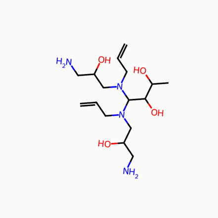 C=CCN(CC(O)CN)C(C(O)C(C)O)N(CC=C)CC(O)CN